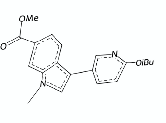 COC(=O)c1ccc2c(-c3ccc(OCC(C)C)nc3)cn(C)c2c1